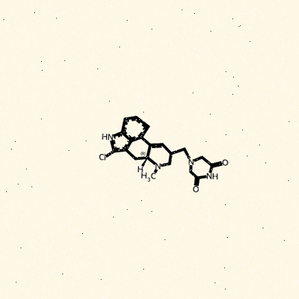 CN1CC(CN2CC(=O)NC(=O)C2)C=C2c3cccc4[nH]c(Cl)c(c34)C[C@H]21